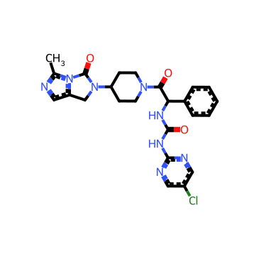 Cc1ncc2n1C(=O)N(C1CCN(C(=O)C(NC(=O)Nc3ncc(Cl)cn3)c3ccccc3)CC1)C2